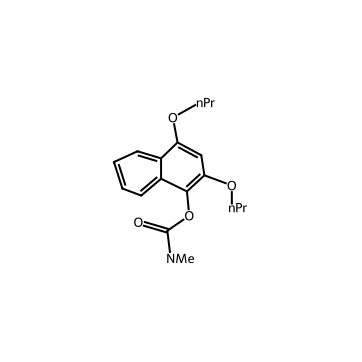 CCCOc1cc(OCCC)c2ccccc2c1OC(=O)NC